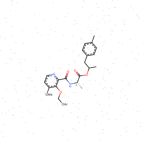 COc1ccnc(C(=O)N[C@@H](C)C(=O)OC(C)Cc2ccc(C)cc2)c1OCOC(C)=O